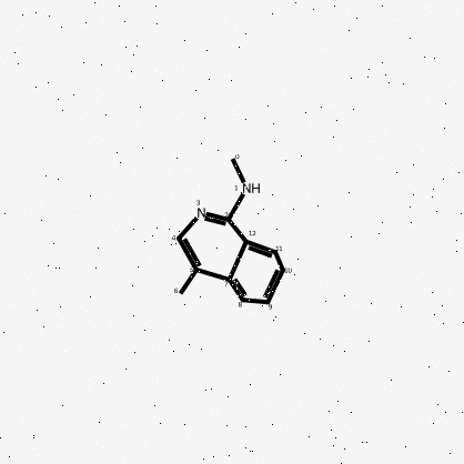 CNc1ncc(C)c2ccccc12